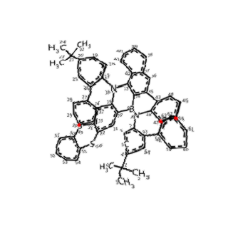 CC(C)(C)c1ccc(N2B3c4cc5c(cc4N(c4ccc(C(C)(C)C)cc4-c4ccccc4)c4c3c(cc3ccccc43)-c3ccccc32)Sc2ccccc2S5)c(-c2ccccc2)c1